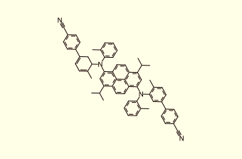 CC1=CC=C(c2ccc(C#N)cc2)CC1N(c1ccccc1C)c1cc(C(C)C)c2ccc3c(N(c4ccccc4C)c4cc(-c5ccc(C#N)cc5)ccc4C)cc(C(C)C)c4ccc1c2c43